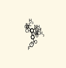 Cc1noc(C)c1-c1cc([C@H](N)O)c2c(c1)c1ccc(C(=O)N3CCC(F)CC3)cc1n2S(C)(=O)=O